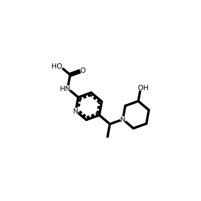 CC(c1ccc(NC(=O)O)nc1)N1CCCC(O)C1